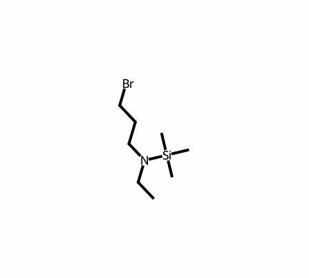 CCN(CCCBr)[Si](C)(C)C